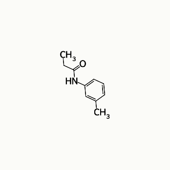 CCC(=O)Nc1cccc(C)c1